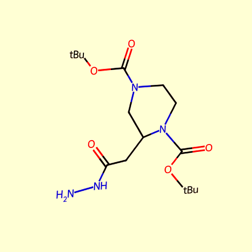 CC(C)(C)OC(=O)N1CCN(C(=O)OC(C)(C)C)C(CC(=O)NN)C1